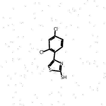 Sc1nc(-c2ccc(Cl)cc2Cl)cs1